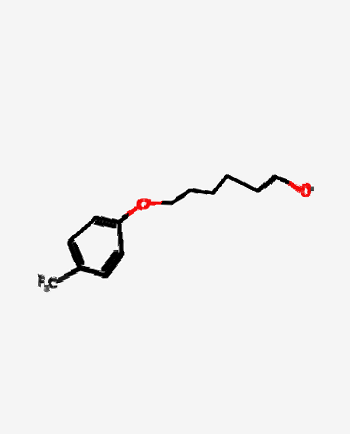 [O]CCCCCCOc1ccc(C(F)(F)F)cc1